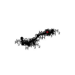 CCC(C)C(C(CC(=O)N1CCCC1C(OC)C(C)C(O)NC(Cc1ccccc1)C(=O)O)OC)N(C)C(=O)C(NC(=O)C(C(C)C)N(C)C(=O)OCc1ccc(NC(=O)C(CCCNC(N)=O)NC(=O)C(NC(=O)CCCCCN2C(=O)CC(SCCNC(=O)CCNC(=O)C(O)C(C)(C)COP(=O)(O)OP(=O)(O)OCC3OC(n4cnc5c(N)ncnc54)C(O)C3OP(=O)(O)O)C2=O)C(C)C)cc1)C(C)C